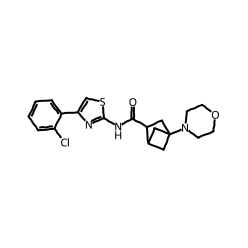 O=C(Nc1nc(-c2ccccc2Cl)cs1)C1CC2(N3CCOCC3)CC1C2